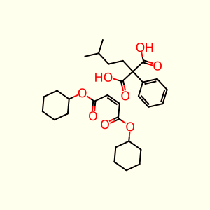 CC(C)CCC(C(=O)O)(C(=O)O)c1ccccc1.O=C(/C=C\C(=O)OC1CCCCC1)OC1CCCCC1